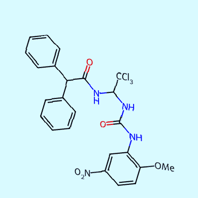 COc1ccc([N+](=O)[O-])cc1NC(=O)NC(NC(=O)C(c1ccccc1)c1ccccc1)C(Cl)(Cl)Cl